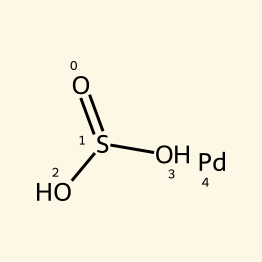 O=S(O)O.[Pd]